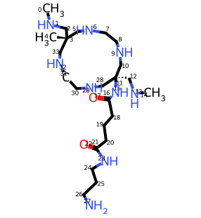 CNC[C@]1(C)CNCCNC[C@@](CNC)(NC(=O)CCCC(=O)NCCCN)CNCCNC1